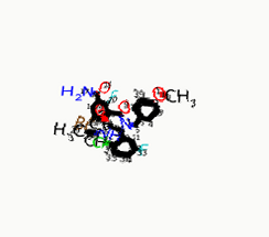 COc1ccc(CN(C(=O)c2cc(Br)cc(C(N)=O)c2F)C(C(=C=O)NC(C)(C)C)c2cc(F)ccc2Cl)cc1